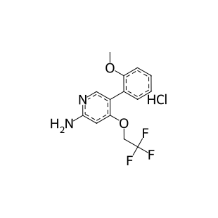 COc1ccccc1-c1cnc(N)cc1OCC(F)(F)F.Cl